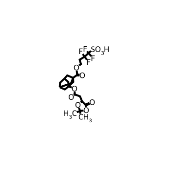 CC1(C)OC(=O)C(CC(=O)OC23CC4CC(C2)CC(C(=O)OCCC(F)(F)C(F)(F)S(=O)(=O)O)(C4)C3)O1